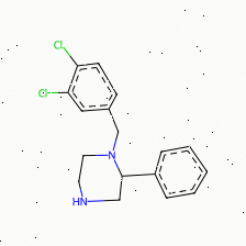 Clc1ccc(CN2CCNCC2c2ccccc2)cc1Cl